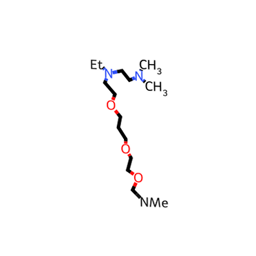 CCN(CCOCCCOCCOCNC)CCN(C)C